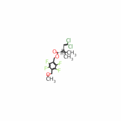 COCc1c(F)c(F)c(COC(=O)[C@@H]2[C@@H](C=C(Cl)Cl)C2(C)C)c(F)c1F